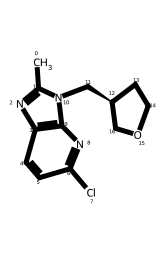 Cc1nc2ccc(Cl)nc2n1C[C@H]1CCOC1